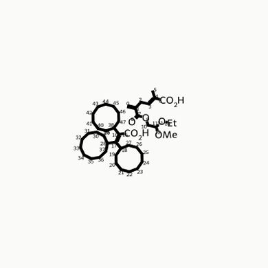 C=C(CC=C(C)C(=O)O)C(=O)OCC(OC)OCC.O=C(O)C(=C(C1CCCCCCCCC1)C1CCCCCCCCC1)C1CCCCCCCCC1